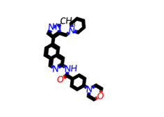 Cn1ncc(-c2ccc3cnc(NC(=O)C4CCC(N5CCOCC5)CC4)cc3c2)c1CN1CCCCC1